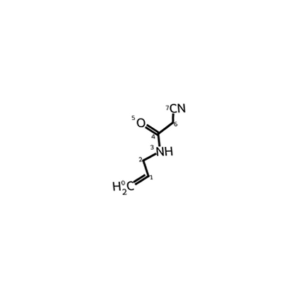 C=CCNC(=O)CC#N